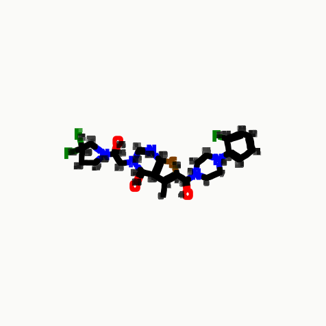 Cc1c(C(=O)N2CCN(c3ccccc3F)CC2)sc2ncn(CC(=O)N3CCC(F)(F)C3)c(=O)c12